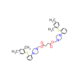 Cc1ccc(Sc2ccccc2N2CCN(COC(=O)CCC(=O)OCN3CCN(c4ccccc4Sc4ccc(C)cc4C)CC3)CC2)c(C)c1